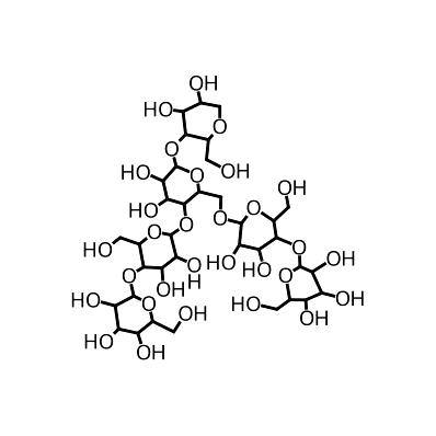 OCC1OC(OC2C(CO)OC(OCC3OC(OC4C(CO)OCC(O)C4O)C(O)C(O)C3OC3OC(CO)C(OC4OC(CO)C(O)C(O)C4O)C(O)C3O)C(O)C2O)C(O)C(O)C1O